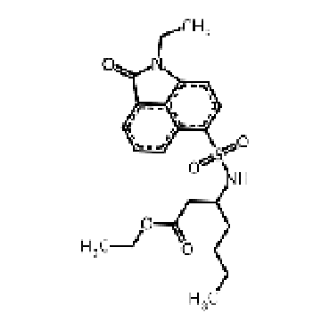 CCCCC(CC(=O)OCC)NS(=O)(=O)c1ccc2c3c(cccc13)C(=O)N2CC